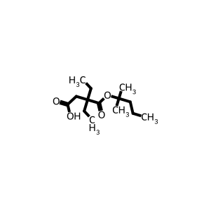 CCCC(C)(C)OC(=O)C(CC)(CC)CC(=O)O